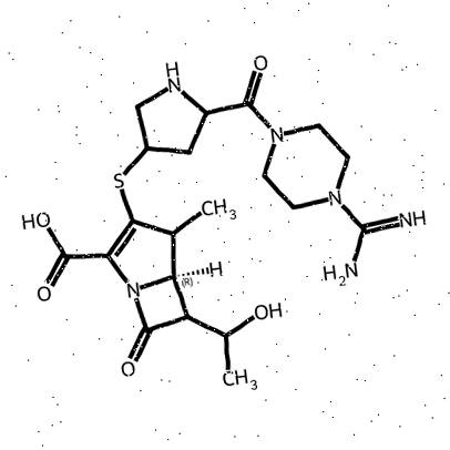 CC(O)C1C(=O)N2C(C(=O)O)=C(SC3CNC(C(=O)N4CCN(C(=N)N)CC4)C3)C(C)[C@@H]12